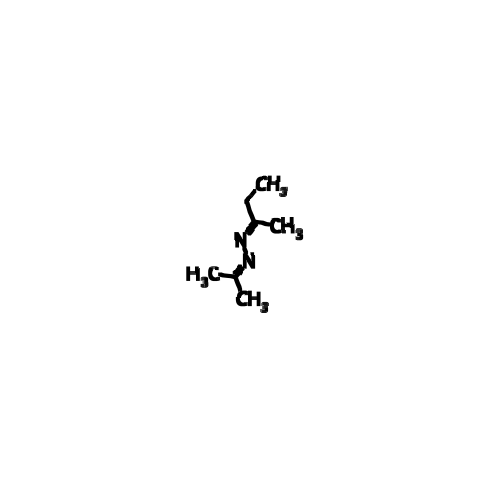 CC/C(C)=N/N=C(C)C